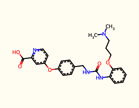 CN(C)CCCOc1ccccc1NC(=O)NCc1ccc(Oc2ccnc(C(=O)O)c2)cc1